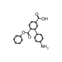 Nc1ccc(-c2cc(C(=O)O)ccc2C(=O)Oc2ccccc2)cc1